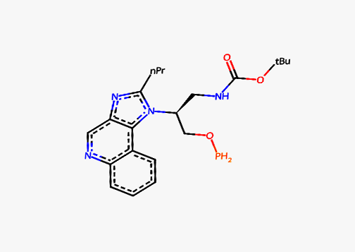 CCCc1nc2cnc3ccccc3c2n1[C@@H](CNC(=O)OC(C)(C)C)COP